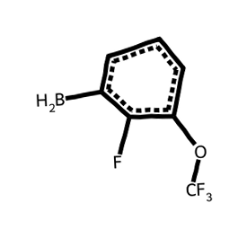 Bc1cccc(OC(F)(F)F)c1F